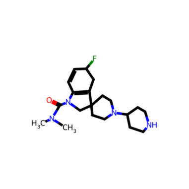 CN(C)C(=O)N1CC2(CCN(C3CCNCC3)CC2)C2=C1C=CC(F)C2